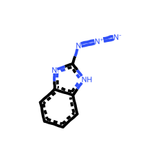 [N-]=[N+]=Nc1nc2ccccc2[nH]1